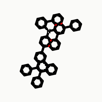 c1ccc(-c2ccc(N(c3ccc(-c4ccc5c(-c6ccccc6)c(-c6ccccc6)c6ccccc6c5c4)cc3)c3ccccc3-c3ccccc3)c(-c3ccccc3)c2)cc1